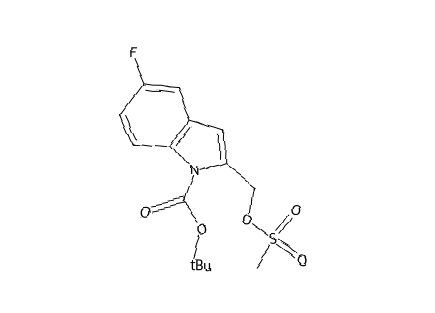 CC(C)(C)OC(=O)n1c(COS(C)(=O)=O)cc2cc(F)ccc21